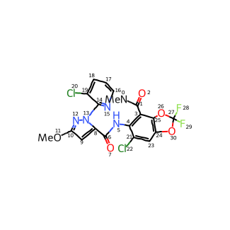 CNC(=O)c1c(NC(=O)c2cc(OC)nn2-c2ncccc2Cl)c(Cl)cc2c1OC(F)(F)O2